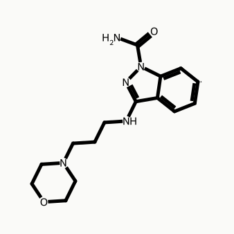 NC(=O)n1nc(NCCCN2CCOCC2)c2cc[c]cc21